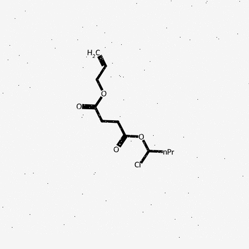 C=CCOC(=O)CCC(=O)OC(Cl)CCC